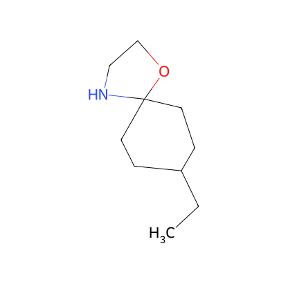 CCC1CCC2(CC1)NCCO2